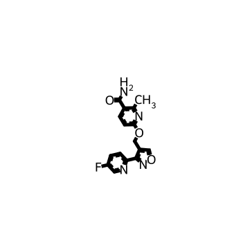 Cc1nc(OCc2conc2-c2ccc(F)cn2)ccc1C(N)=O